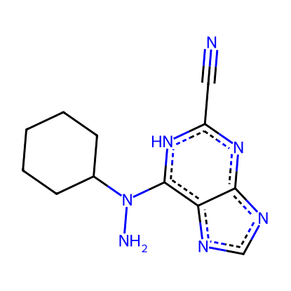 N#Cc1nc2ncnc-2c(N(N)C2CCCCC2)[nH]1